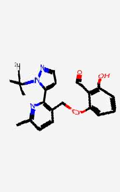 [2H]C(C)(C)n1nccc1-c1nc(C)ccc1COc1cccc(O)c1C=O